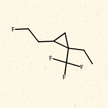 CCC1(C(F)(F)F)CC1CCF